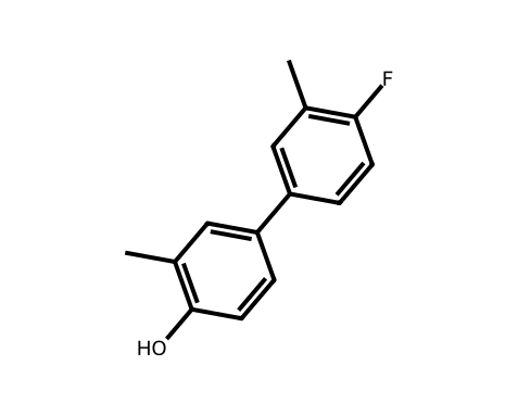 Cc1cc(-c2ccc(F)c(C)c2)ccc1O